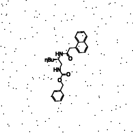 CCCC[C@H](CNC(=O)OCc1ccccc1)NC(=O)Cc1cccc2ccccc12